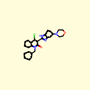 O=c1c(-c2nc3cc(N4CCOCC4)ccc3[nH]2)c(Cl)c2ccccc2n1Cc1ccccc1